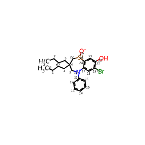 CCCCC1(CCCC)CN(c2ccccc2)c2cc(Br)c(O)cc2[S+]([O-])C1